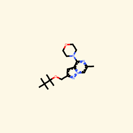 Cc1cn2nc(COC(C)(C)C(C)(C)C)cc2c(N2CCOCC2)n1